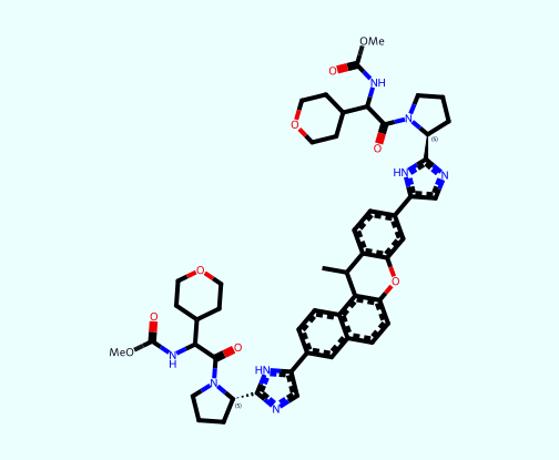 COC(=O)NC(C(=O)N1CCC[C@H]1c1ncc(-c2ccc3c(c2)Oc2ccc4cc(-c5cnc([C@@H]6CCCN6C(=O)C(NC(=O)OC)C6CCOCC6)[nH]5)ccc4c2C3C)[nH]1)C1CCOCC1